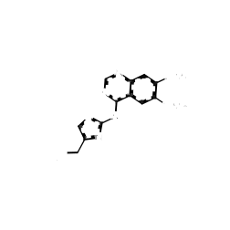 COc1cc2ncnc(Nc3nc(CC(=O)O)cs3)c2cc1OC